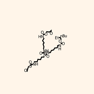 CCCCC(CC)COC(=O)NCCCCCCNC(=O)N(CCCCCCNC(=O)OCC1CO1)C(=O)NCCCCCCNC(=O)OCC1CO1